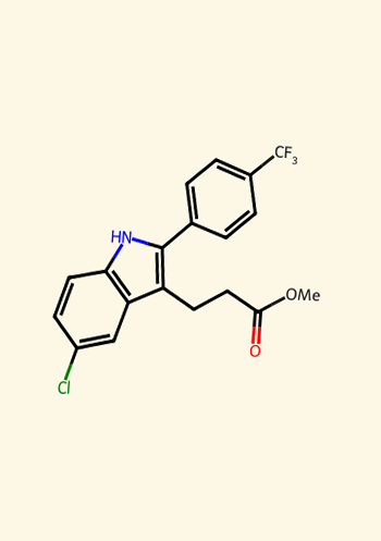 COC(=O)CCc1c(-c2ccc(C(F)(F)F)cc2)[nH]c2ccc(Cl)cc12